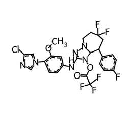 COc1cc(NC2=NN3CCC(F)(F)CC(c4ccc(F)cc4)C3N2OC(=O)C(F)(F)F)ccc1-n1cnc(Cl)c1